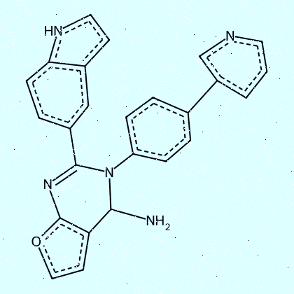 NC1c2ccoc2N=C(c2ccc3[nH]ccc3c2)N1c1ccc(-c2cccnc2)cc1